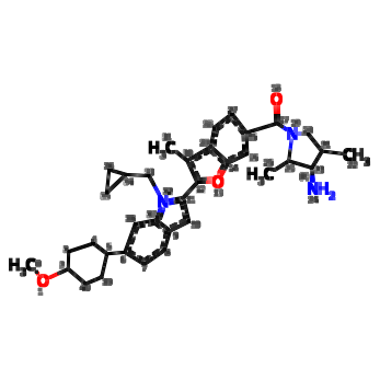 COC1CCC(c2ccc3cc(-c4oc5cc(C(=O)N6CC(C)[C@@H](N)C6C)ccc5c4C)n(CC4CC4)c3c2)CC1